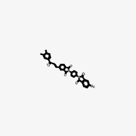 CC(=O)c1ccc2c(c1)C(=O)N(c1ccc(N3C(=O)c4ccc(C=CC(=O)c5ccc(C)c(C)c5)cc4C3=O)cc1)C2=O